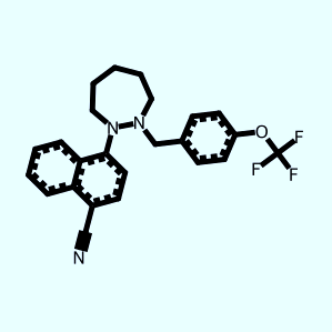 N#Cc1ccc(N2CCCCCN2Cc2ccc(OC(F)(F)F)cc2)c2ccccc12